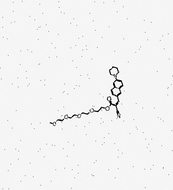 COCCOCCOCCOCCOC(=O)C(C#N)=Cc1ccc2cc(N3CCCCC3)ccc2c1